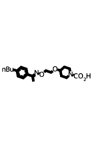 CCCCc1ccc(C(C)=NOCCOC2CCN(C(=O)O)CC2)cc1